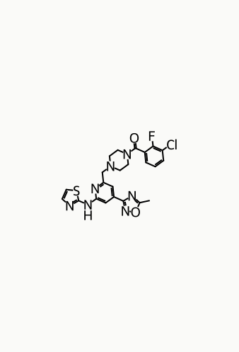 Cc1nc(-c2cc(CN3CCN(C(=O)c4cccc(Cl)c4F)CC3)nc(Nc3nccs3)c2)no1